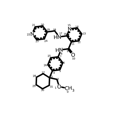 COCC1(c2ccc(NC(=O)c3cccnc3NCc3ccncc3)cc2)CCCCC1